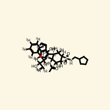 [2H]c1c([2H])c([2H])c(C([2H])([2H])C([2H])(N(C(=O)O)C2(NC(C)=O)C([2H])([2H])C([2H])([2H])C([2H])(S(=O)(=O)NCC3CCCC3)C([2H])([2H])[C@]2([2H])c2coc3occc23)C([2H])(O)C([2H])([2H])[2H])c([2H])c1[2H]